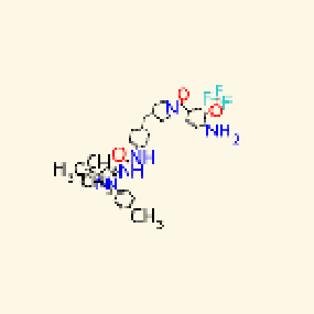 Cc1ccc(-n2nc(C(C)(C)C)cc2NC(=O)Nc2ccc(CC3CCN(C(=O)c4ccc(N)c(OC(F)(F)F)c4)CC3)cc2)cc1